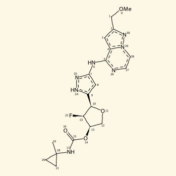 COCc1cc2c(Nc3cc([C@H]4OC[C@@H](OC(=O)NC5(C)CC5)[C@H]4F)[nH]n3)nccn2n1